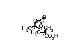 C=C(C)C(=O)O.CC1COS(=O)O1